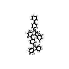 c1ccc(-c2ccc(-n3c4cccc(-c5ccc(-n6c7ccccc7c7ccccc76)cc5)c4c4c5ccccc5oc43)cc2)cc1